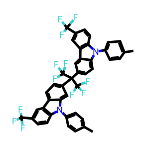 Cc1ccc(-n2c3ccc(C(F)(F)F)cc3c3cc(C(c4ccc5c6cc(C(F)(F)F)ccc6n(-c6ccc(C)cc6)c5c4)(C(F)(F)F)C(F)(F)F)ccc32)cc1